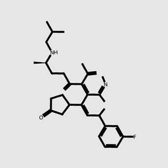 C=C(C)/C(C(=C)CC[C@@H](C)NCC(C)C)=C(C(=C\C(C)c1cccc(F)c1)/C1CCC(=O)C1)\C(C)=N/C